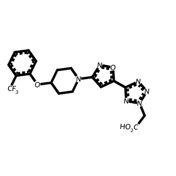 O=C(O)Cn1nnc(-c2cc(N3CCC(Oc4ccccc4C(F)(F)F)CC3)no2)n1